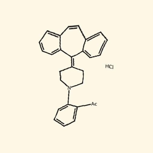 CC(=O)c1ccccc1N1CCC(=C2c3ccccc3C=Cc3ccccc32)CC1.Cl